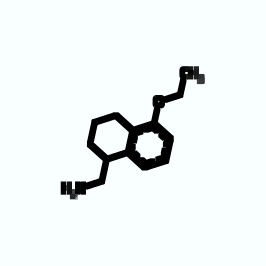 CCOc1cccc2c1CCCC2CN